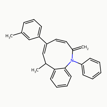 C=C1/C=C\C(c2cccc(C)c2)=C/C(C)c2ccccc2N1c1ccccc1